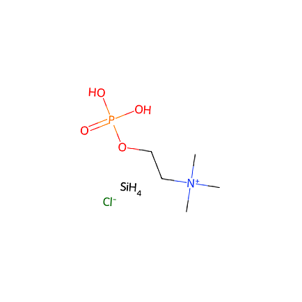 C[N+](C)(C)CCOP(=O)(O)O.[Cl-].[SiH4]